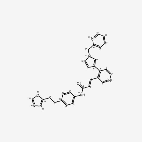 O=C(C=Cc1cnccc1-c1cnn(Cc2ccccn2)c1)Nc1ccc(CCc2nnco2)cc1